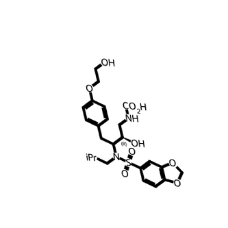 CC(C)CN(C(Cc1ccc(OCCO)cc1)[C@H](O)CNC(=O)O)S(=O)(=O)c1ccc2c(c1)OCO2